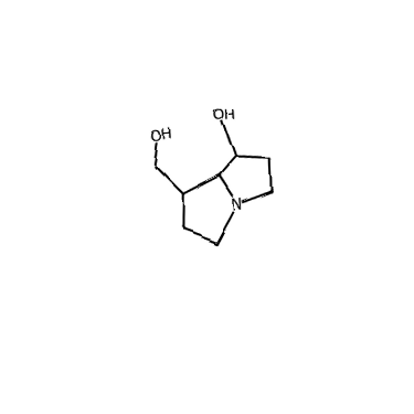 OCC1CCN2CCC(O)C12